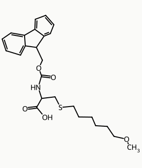 COCCCCCCSCC(NC(=O)OCC1c2ccccc2-c2ccccc21)C(=O)O